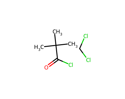 CC(C)(C)C(=O)Cl.ClCCl